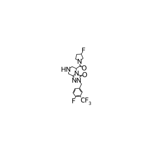 O=C(C1CNCc2nn(Cc3ccc(F)c(C(F)(F)F)c3)c(=O)n21)N1CCC(F)C1